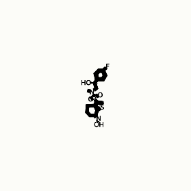 CN(C[C@@H](O)c1ccc(F)cc1)S(=O)(=O)c1csc2c1CCCC2=NO